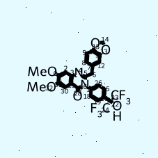 COc1cc2nc(Cc3ccc4c(c3)OCO4)n(-c3ccc(C(O)(C(F)(F)F)C(F)(F)F)cc3)c(=O)c2cc1OC